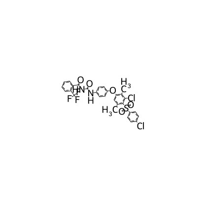 Cc1cc(Oc2ccc(NC(=O)NC(=O)c3ccccc3C(F)(F)F)cc2)c(C)c(Cl)c1S(=O)(=O)c1ccc(Cl)cc1